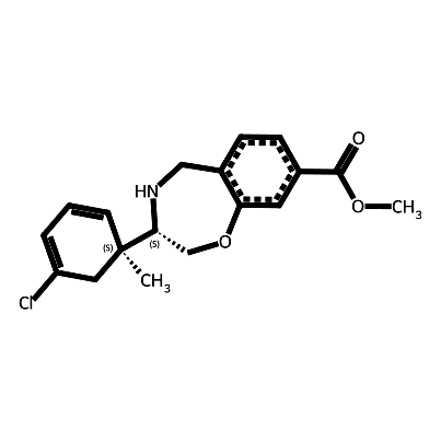 COC(=O)c1ccc2c(c1)OC[C@H]([C@]1(C)C=CC=C(Cl)C1)NC2